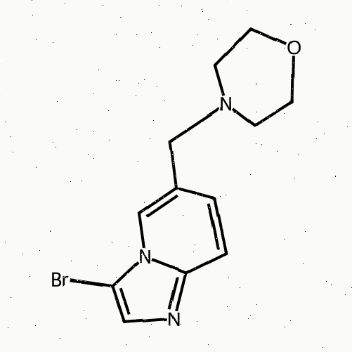 Brc1cnc2ccc(CN3CCOCC3)cn12